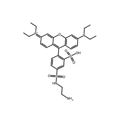 CCN(CC)c1ccc2c(-c3ccc(S(=O)(=O)NCCN)cc3S(=O)(=O)O)c3ccc(=[N+](CC)CC)cc-3oc2c1